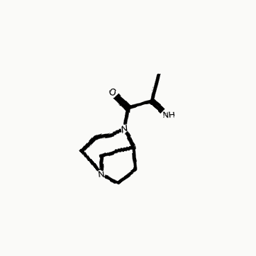 CC(=N)C(=O)N1CCN2CCC1CC2